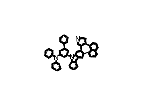 c1ccc(-c2cc(N(c3ccccc3)c3ccccc3)cc(-n3c4ccccc4c4cc5c(cc43)-c3cnccc3-c3cccc4cccc-5c34)c2)cc1